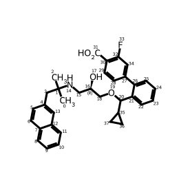 CC(C)(Cc1ccc2ccccc2c1)NC[C@@H](O)COC(c1ccccc1-c1ccc(C(=O)O)c(F)c1)C1CC1